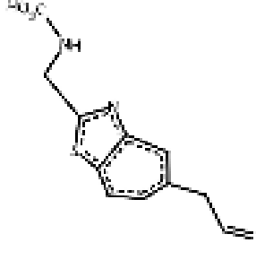 C=CCc1ccc2sc(CNC(=O)O)nc2c1